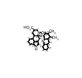 CN1C[C@H](C(=O)O)C=C2c3cccc4[nH]cc(c34)C[C@H]21.Cc1ccc2nc3ccccc3cc2c1C